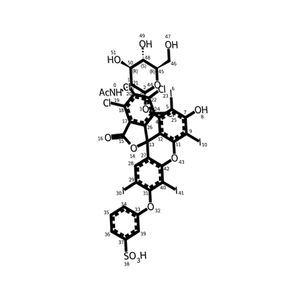 CC(=O)N[C@H]1[C@H](Oc2c(I)c(O)c(I)c3c2C2(OC(=O)c4c(Cl)c(Cl)c(Cl)c(Cl)c42)c2cc(I)c(Oc4cccc(S(=O)(=O)O)c4)c(I)c2O3)O[C@H](CO)[C@@H](O)[C@@H]1O